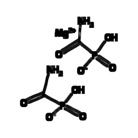 NC(=O)P(=O)([O-])O.NC(=O)P(=O)([O-])O.[Mg+2]